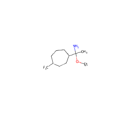 CCOC(C)(N)C1CCCC(C(F)(F)F)CC1